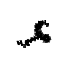 CCCCCCCc1cc(Cc2ccc(N)cc2)ccc1Cc1ccccc1